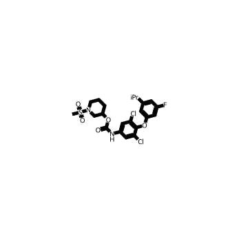 CC(C)c1cc(F)cc(Oc2c(Cl)cc(NC(=O)OC3CCCN(S(C)(=O)=O)C3)cc2Cl)c1